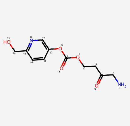 NCC(=O)CCOC(=O)Oc1ccc(CO)nc1